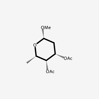 CO[C@@H]1C[C@H](OC(C)=O)[C@H](OC(C)=O)[C@H](C)O1